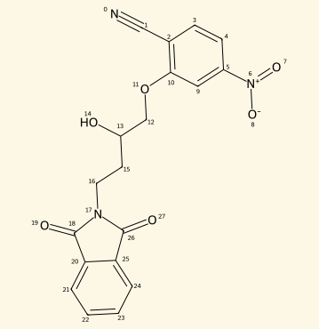 N#Cc1ccc([N+](=O)[O-])cc1OCC(O)CCN1C(=O)c2ccccc2C1=O